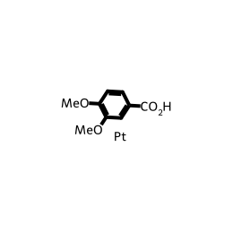 COc1ccc(C(=O)O)cc1OC.[Pt]